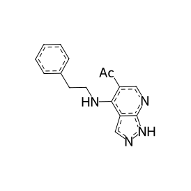 CC(=O)c1cnc2[nH]ncc2c1NCCc1ccccc1